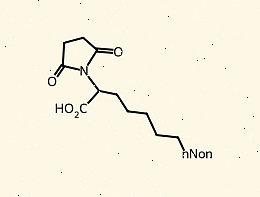 CCCCCCCCCCCCCCC(C(=O)O)N1C(=O)CCC1=O